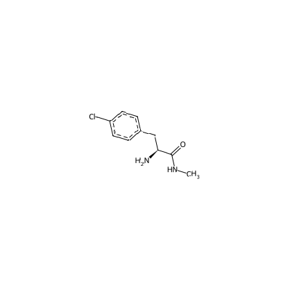 CNC(=O)[C@@H](N)Cc1ccc(Cl)cc1